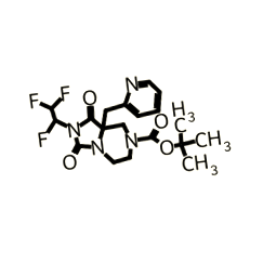 CC(C)(C)OC(=O)N1CCN2C(=O)N(C(F)C(F)F)C(=O)C2(Cc2ccccn2)C1